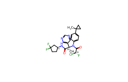 CC1(c2ccc(N(C(=O)[C@H](F)Cl)[C@@](C)(C(=O)N[C@H]3CCC(F)(F)C3)c3cncnc3)cc2)CC1